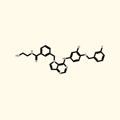 O=C(NCCO)c1cccc(Cn2ccc3ncnc(Nc4ccc(OCc5cccc(F)c5)c(Cl)c4)c32)c1